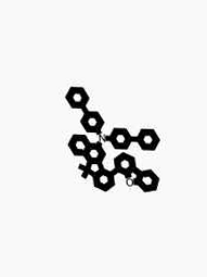 CC1(C)c2cccc(-c3cccc4c3oc3ccccc34)c2-c2cc(N(c3ccc(-c4ccccc4)cc3)c3ccc(-c4ccccc4)cc3)c3ccccc3c21